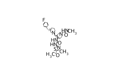 CNC(=O)CN1CC[C@@H](NC(=O)Nc2nc(C)c(C(C)=O)s2)[C@@H](CN2CCC[C@@H](Cc3ccc(F)cc3)C2)C1